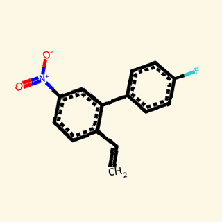 C=Cc1ccc([N+](=O)[O-])cc1-c1ccc(F)cc1